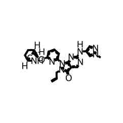 C=CCn1c(=O)c2cnc(Nc3cnn(C)c3)nc2n1-c1cccc(O[C@H]2C[C@@H]3CC[C@H]2CN3)n1